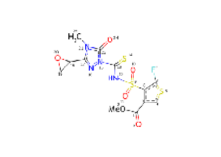 COC(=O)c1csc(F)c1S(=O)(=O)NC(=S)n1nc(C2CO2)n(C)c1=O